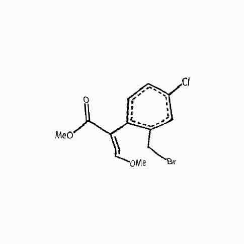 CO/C=C(/C(=O)OC)c1ccc(Cl)cc1CBr